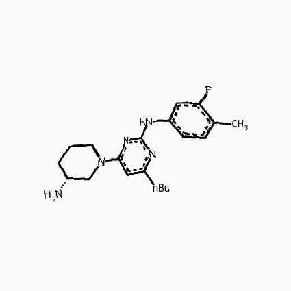 CCCCc1cc(N2CCC[C@@H](N)C2)nc(Nc2ccc(C)c(F)c2)n1